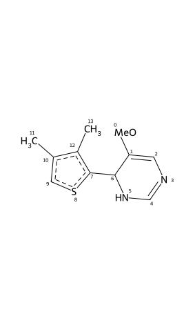 COC1=CN=CNC1c1scc(C)c1C